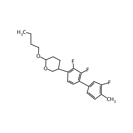 CCCCOC1CCC(c2ccc(-c3ccc(C)c(F)c3)c(F)c2F)CO1